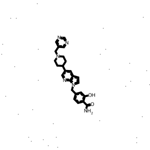 NC(=O)c1ccc(Cn2ccc3cc(C4CCN(Cc5cncnc5)CC4)cnc32)cc1O